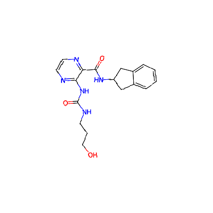 O=C(NCCCO)Nc1nccnc1C(=O)NC1Cc2ccccc2C1